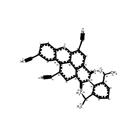 C#Cc1ccc2sc3c(C#N)cc4c(=O)n(-c5c(C(C)C)cccc5C(C)C)c(=O)c5cc(C#N)c(c2c1)c3c45